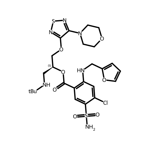 CC(C)(C)NC[C@@H](COc1nsnc1N1CCOCC1)OC(=O)c1cc(S(N)(=O)=O)c(Cl)cc1NCc1ccco1